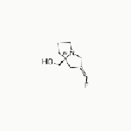 OC[C@@]12CCCN1CC(=CF)C2